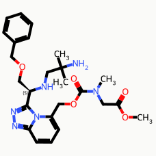 COC(=O)CN(C)C(=O)OCc1cccc2nnc([C@@H](COCc3ccccc3)NCC(C)(C)N)n12